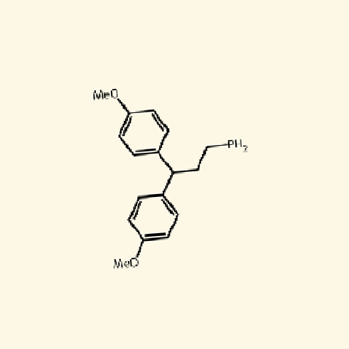 COc1ccc(C(CCP)c2ccc(OC)cc2)cc1